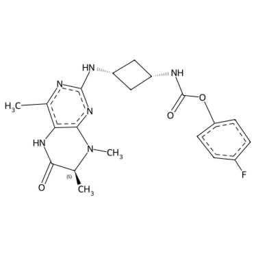 Cc1nc(N[C@H]2C[C@@H](NC(=O)Oc3ccc(F)cc3)C2)nc2c1NC(=O)[C@H](C)N2C